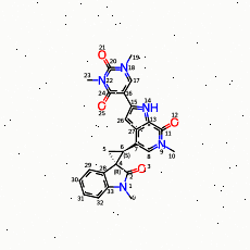 CN1C(=O)[C@@]2(C[C@H]2c2cn(C)c(=O)c3[nH]c(-c4cn(C)c(=O)n(C)c4=O)cc23)c2ccccc21